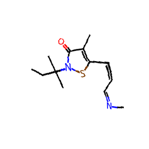 CCC(C)(C)n1sc(/C=C\C=N/C)c(C)c1=O